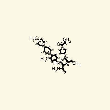 C=CC(=O)N1CC[C@@H](Oc2nc(Nc3ccc(N4CCC(N5CCN(C)CC5)CC4)c(C)c3)c(C(N)=O)nc2CC)C1